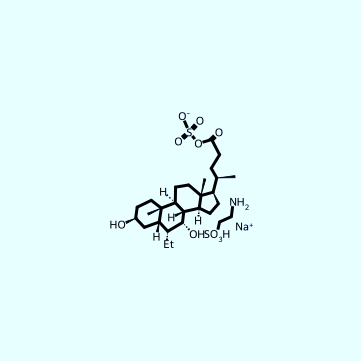 CC[C@H]1[C@@H](O)[C@@H]2[C@H](CC[C@]3(C)[C@@H]([C@H](C)CCC(=O)OS(=O)(=O)[O-])CC[C@@H]23)[C@@]2(C)CC[C@H](O)C[C@@H]12.NCCS(=O)(=O)O.[Na+]